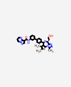 Cc1sc2c(c1C)C(c1ccc(-c3cccc(NC(=O)c4cnn5cccnc45)c3)cc1)=N[C@@H](CCO)c1nnc(C)n1-2